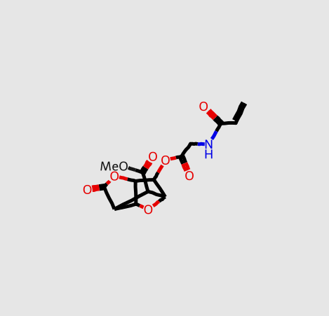 C=CC(=O)NCC(=O)OC1C2OC(=O)C3C2OC1C3C(=O)OC